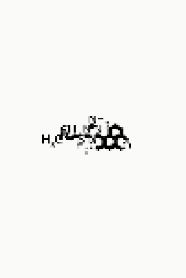 C=Cc1cc2c3c(cccc3c1-c1nc(N)nc(SCCN(C)C)n1)COC2